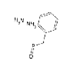 N.N.O=PCc1ccccc1